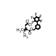 CC1(C)[C@H](C(=O)OCc2cccc(-c3c(F)c(F)c(F)c(F)c3F)c2)[C@@H]1C=C(Cl)Cl